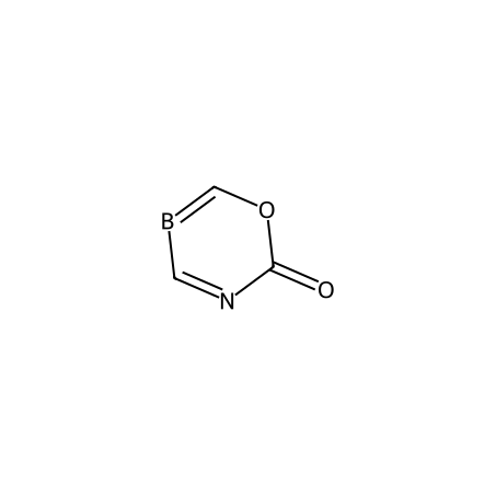 O=c1ncbco1